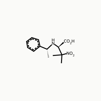 C[C@@H](N[C@@H](C(=O)O)C(C)(C)[N+](=O)[O-])c1ccccc1